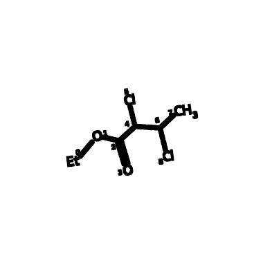 CCOC(=O)C(Cl)C(C)Cl